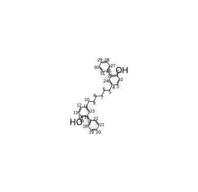 Oc1ccc(CCCCCCc2ccc(O)c(-c3ccccc3)c2)cc1-c1ccccc1